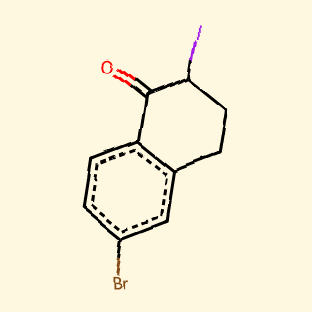 O=C1c2ccc(Br)cc2CCC1I